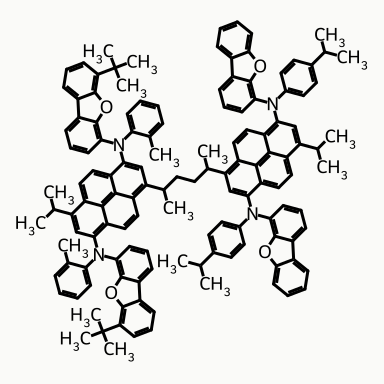 Cc1ccccc1N(c1cc(C(C)C)c2ccc3c(N(c4ccccc4C)c4cccc5c4oc4c(C(C)(C)C)cccc45)cc(C(C)CCC(C)c4cc(N(c5ccc(C(C)C)cc5)c5cccc6c5oc5ccccc56)c5ccc6c(C(C)C)cc(N(c7ccc(C(C)C)cc7)c7cccc8c7oc7ccccc78)c7ccc4c5c67)c4ccc1c2c43)c1cccc2c1oc1c(C(C)(C)C)cccc12